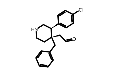 O=CC[C@@]1(Cc2ccccc2)CCNC[C@H]1c1ccc(Cl)cc1